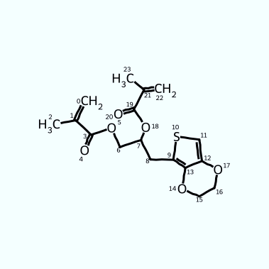 C=C(C)C(=O)OCC(Cc1scc2c1OCCO2)OC(=O)C(=C)C